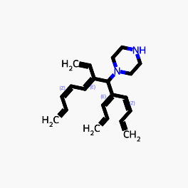 C=C/C=C\C=C(/C=C)C(C(/C=C\C=C)=C/C=C)N1CCNCC1